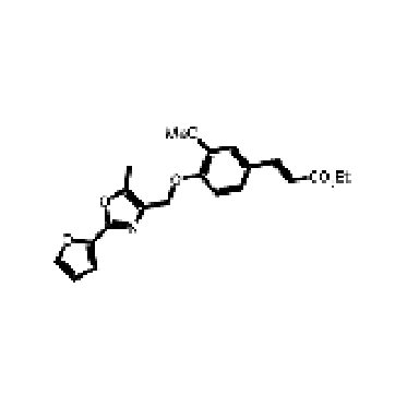 CCOC(=O)/C=C/c1ccc(OCc2nc(-c3ccco3)oc2C)c(OC)c1